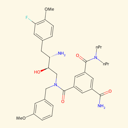 CCCN(CCC)C(=O)c1cc(C(N)=O)cc(C(=O)N(Cc2cccc(OC)c2)C[C@@H](O)[C@@H](N)Cc2ccc(OC)c(F)c2)c1